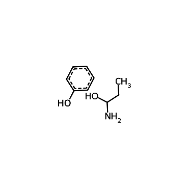 CCC(N)O.Oc1ccccc1